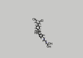 CC(/C=C/C(O)O)=C\c1ccc(NS(=O)(=O)c2ccc(N(CCCl)CCCl)cc2)cc1